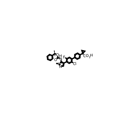 C[C@@H](OC(=O)Nc1c(-c2cc(Cl)c(-c3ccc(C4(C(=O)O)CC4)cc3)cc2F)cnn1C)c1ccccc1